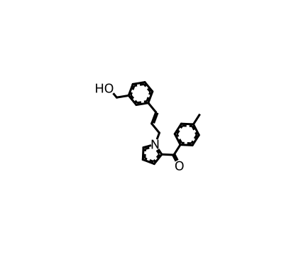 Cc1ccc(C(=O)c2cccn2C/C=C/c2cccc(CO)c2)cc1